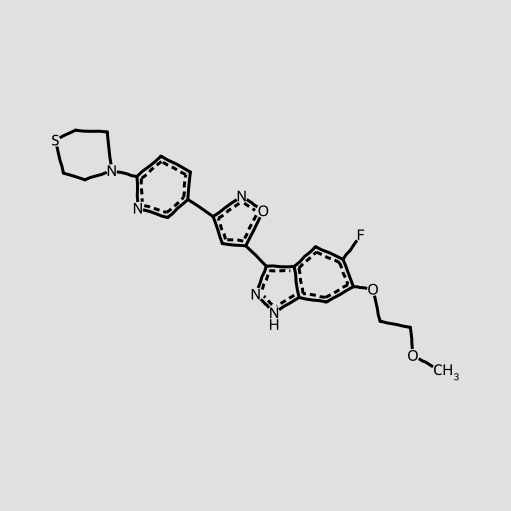 COCCOc1cc2[nH]nc(-c3cc(-c4ccc(N5CCSCC5)nc4)no3)c2cc1F